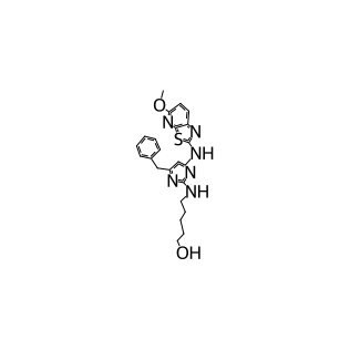 COc1ccc2nc(Nc3cc(Cc4ccccc4)nc(NCCCCCO)n3)sc2n1